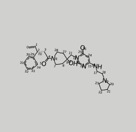 C=C[C@H](CC(=O)N1CCC(O)(Cn2cnc(NCCN3CCCC3)cc2=O)CC1)c1ccccc1